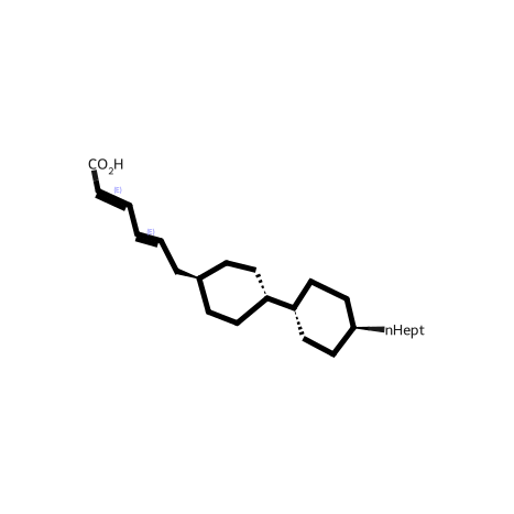 CCCCCCC[C@H]1CC[C@H]([C@H]2CC[C@H](C/C=C/C=C/C(=O)O)CC2)CC1